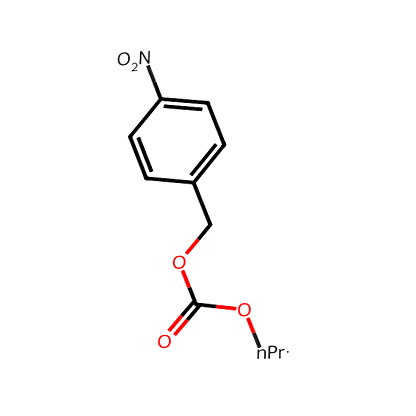 CC[CH]OC(=O)OCc1ccc([N+](=O)[O-])cc1